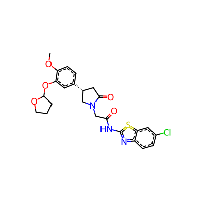 COc1ccc([C@@H]2CC(=O)N(CC(=O)Nc3nc4ccc(Cl)cc4s3)C2)cc1OC1CCCO1